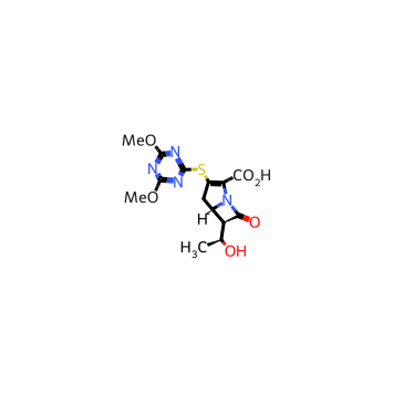 COc1nc(OC)nc(SC2=C(C(=O)O)N3C(=O)[C@@H]([C@H](C)O)[C@H]3C2)n1